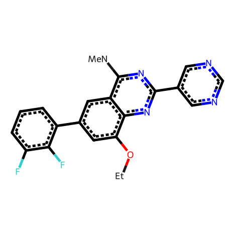 CCOc1cc(-c2cccc(F)c2F)cc2c(NC)nc(-c3cncnc3)nc12